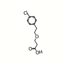 O=C(O)CCOCCc1ccc(Cl)cc1